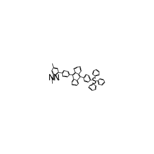 Cc1cc(-c2ccc(-c3c4ccccc4c(-c4ccc(S(c5ccccc5)(c5ccccc5)c5ccccc5)cc4)c4ccccc34)cc2)c2c(c1)nc(C)n2C